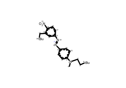 CN(CCC(C)(C)C)c1ccc(/N=N/c2ccc([N+](=O)[O-])c(CC(C)(C)C)c2)cc1